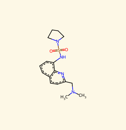 CN(C)Cc1ccc2cccc(NS(=O)(=O)N3CCCC3)c2n1